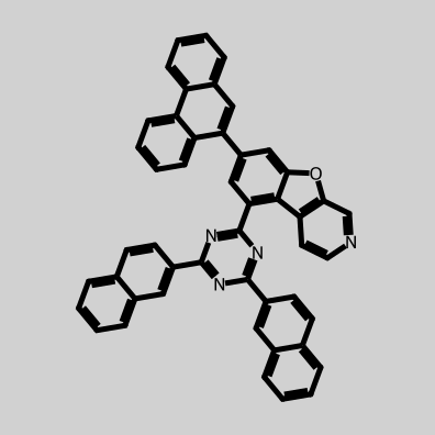 c1ccc2cc(-c3nc(-c4ccc5ccccc5c4)nc(-c4cc(-c5cc6ccccc6c6ccccc56)cc5oc6cnccc6c45)n3)ccc2c1